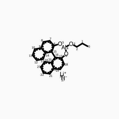 CCC[O][Al]1[O]c2ccc3ccccc3c2-c2c(ccc3ccccc23)[O]1.[H-].[Li+]